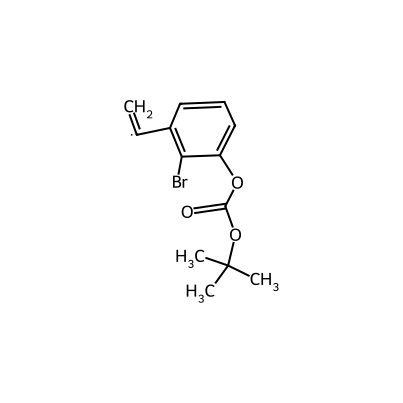 C=[C]c1cccc(OC(=O)OC(C)(C)C)c1Br